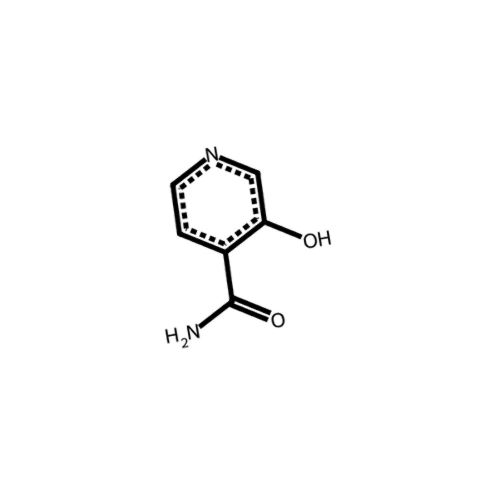 NC(=O)c1ccncc1O